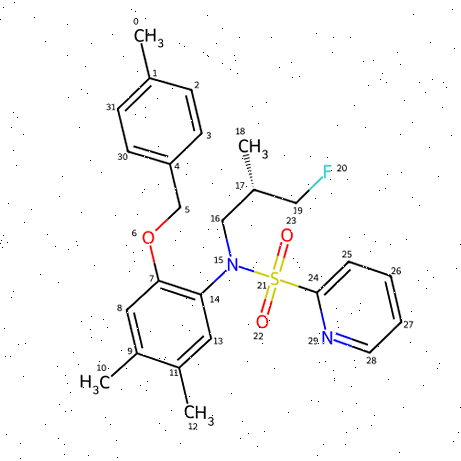 Cc1ccc(COc2cc(C)c(C)cc2N(C[C@H](C)CF)S(=O)(=O)c2ccccn2)cc1